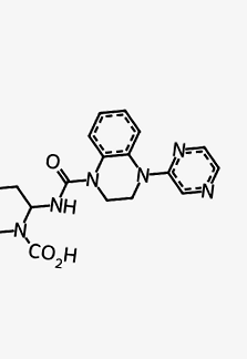 O=C(NC1CCCCN1C(=O)O)N1CCN(c2cnccn2)c2ccccc21